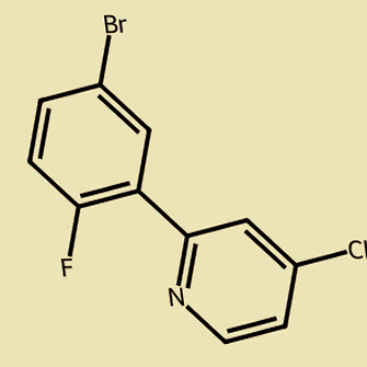 Cc1ccnc(-c2cc(Br)ccc2F)c1